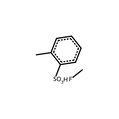 CF.Cc1ccccc1S(=O)(=O)O